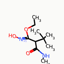 CCO/C(=N\O)C(C(=O)NC)C(C)(C)C